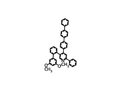 COc1cc(OC)cc(-c2ccccc2-c2cnc(-c3ccccc3)cc2-c2ccc(-c3ccc(-c4ccccc4)cc3)cc2)c1